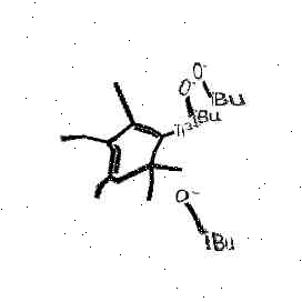 CC1=C(C)C(C)(C)[C]([Ti+3])=C1C.CCC(C)[O-].CCC(C)[O-].CCC(C)[O-]